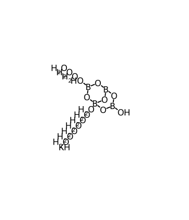 O.O.O.O.O.O.O.O.O.O.OB1OB2OB(O)OB(O1)O2.[KH]